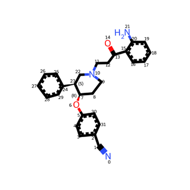 N#Cc1ccc(O[C@@H]2CCN(CCC(=O)c3ccccc3N)C[C@@H]2c2ccccc2)cc1